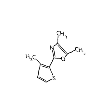 Cc1ccsc1-c1nc(C)c(C)o1